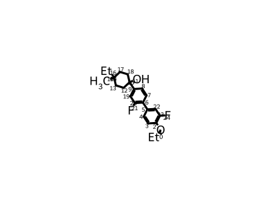 CCOc1ccc(-c2ccc(C3(O)CCC(C)(CC)CC3)cc2F)cc1F